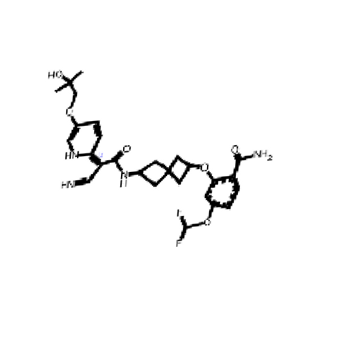 CC(C)(O)COC1=CN/C(=C(\C=N)C(=O)NC2CC3(C2)CC(Oc2cc(OC(F)F)ccc2C(N)=O)C3)C=C1